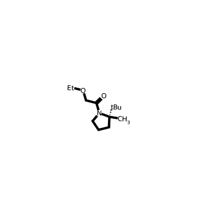 CCOCC(=O)N1CCC[C@@]1(C)C(C)(C)C